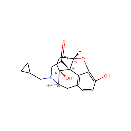 CC1CN(CC2CC2)[C@@H]2Cc3ccc(O)c4c3[C@]13[C@@H](O4)C(=O)CC[C@@]23O